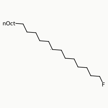 CCCCCCCCCCCCC[CH]CCCCCCCF